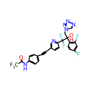 O=C(Nc1ccc(C#Cc2ccc(C(F)(F)C(O)(Cn3cnnn3)c3ccc(F)cc3F)nc2)cc1)C(F)(F)F